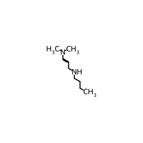 CCCCNCC=CN(C)C